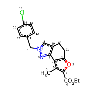 CCOC(=O)c1oc2c(c1C)-c1nn(Cc3ccc(Cl)cc3)cc1CC2